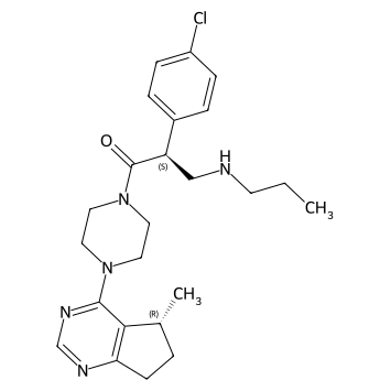 CCCNC[C@@H](C(=O)N1CCN(c2ncnc3c2[C@H](C)CC3)CC1)c1ccc(Cl)cc1